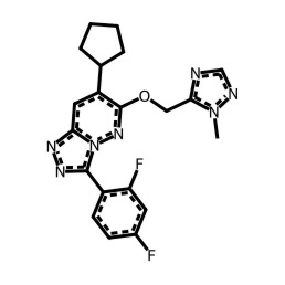 Cn1ncnc1COc1nn2c(-c3ccc(F)cc3F)nnc2cc1C1CCCC1